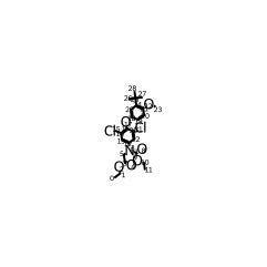 CCOC(=O)CN(C(=O)OCC)c1cc(Cl)c(Oc2ccc(OC)c(C(C)(C)C)c2)c(Cl)c1